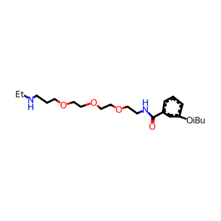 CCNCCCOCCOCCOCCNC(=O)c1cccc(OCC(C)C)c1